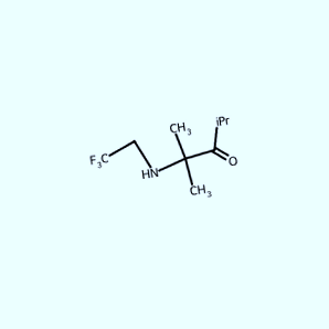 CC(C)C(=O)C(C)(C)NCC(F)(F)F